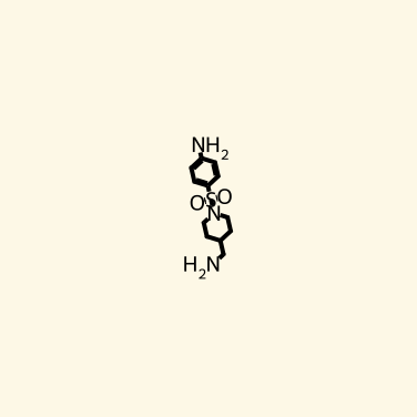 NCC1CCN(S(=O)(=O)c2ccc(N)cc2)CC1